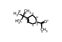 CC(=O)N1CC=C(C(C)(C)C)CC1